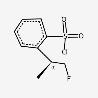 C[C@H](CF)c1ccccc1S(=O)(=O)Cl